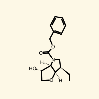 CC[C@@H]1CN(C(=O)OCc2ccccc2)[C@H]2[C@@H]1OC[C@@H]2O